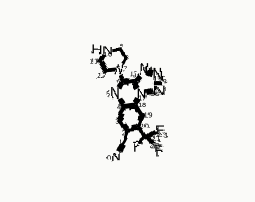 N#Cc1cc2nc(N3CCNCC3)c3nnnn3c2cc1C(F)(F)F